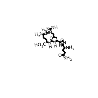 N=C(N)NCCC[C@H](NC(=O)N[C@@H](CCC(N)=O)C(=O)O)c1nc([C@@H](N)CCC(N)=O)no1